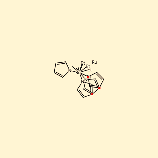 C[CH2][Ru]([CH3])([CH3])([CH3])([CH3])([CH2]C)([CH2]C)([CH2]C)([n]1cccc1)([n]1cccc1)([n]1cccc1)[n]1cccc1.[Ru]